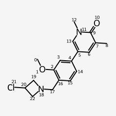 COc1cc(-c2cc(C)c(=O)n(C)c2)ccc1CN1CC(Cl)C1